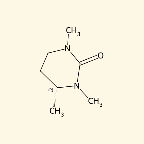 C[C@@H]1CCN(C)C(=O)N1C